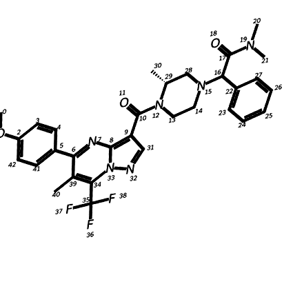 COc1ccc(-c2nc3c(C(=O)N4CCN(C(C(=O)N(C)C)c5ccccc5)C[C@H]4C)cnn3c(C(F)(F)F)c2C)cc1